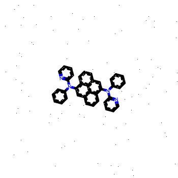 c1ccc(N(c2ccccn2)c2cc3cccc4c(N(c5ccccc5)c5ccccn5)cc5cccc2c5c34)cc1